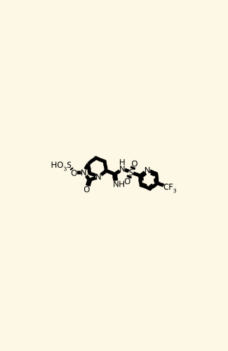 N=C(NS(=O)(=O)c1ccc(C(F)(F)F)cn1)C1CCC2CN1C(=O)N2OS(=O)(=O)O